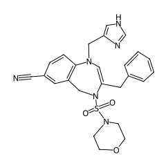 N#Cc1ccc2c(c1)CN(S(=O)(=O)N1CCOCC1)C(Cc1ccccc1)=CN2Cc1c[nH]cn1